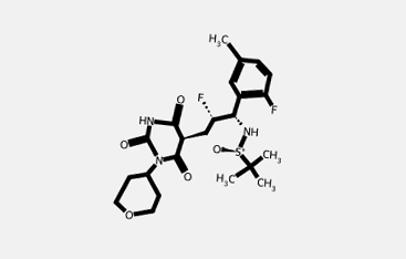 Cc1ccc(F)c([C@H](N[S@+]([O-])C(C)(C)C)[C@@H](F)C[C@@H]2C(=O)NC(=O)N(C3CCOCC3)C2=O)c1